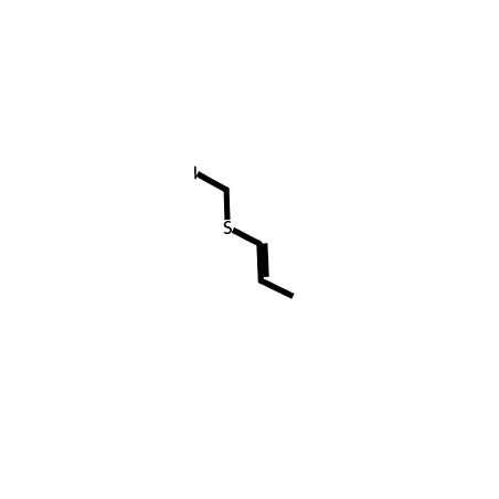 CC=CSCI